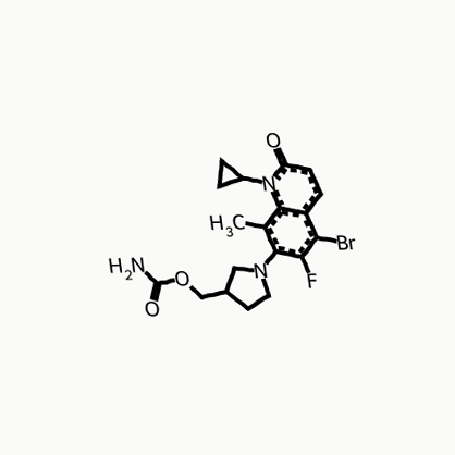 Cc1c(N2CCC(COC(N)=O)C2)c(F)c(Br)c2ccc(=O)n(C3CC3)c12